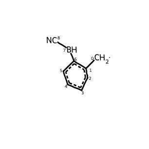 [CH2]c1ccccc1BC#N